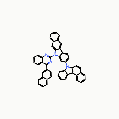 c1ccc2cc(-c3nc(-n4c5cc(-n6c7ccccc7c7c8ccccc8ccc76)ccc5c5cc6ccccc6cc54)nc4ccccc34)ccc2c1